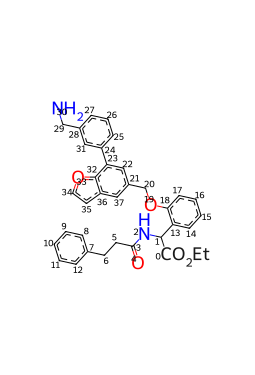 CCOC(=O)C(NC(=O)CCc1ccccc1)c1ccccc1OCc1cc(-c2cccc(CN)c2)c2occc2c1